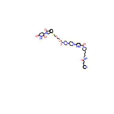 O=C(/C=C/c1cccnc1)NCCCCC1CCN(C(=O)c2ccc(N3CCC(N4CCN(C(=O)COCCOCCSc5cccc6c5CN(C5CCC(=O)NC5=O)C6=O)CC4)CC3)nn2)CC1